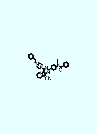 N#Cc1c2n(c3c(N4CCN(CCc5ccccc5)CC4)nc(-c4ccc(NC(=O)c5ccccc5)cc4)nc13)CCCC2